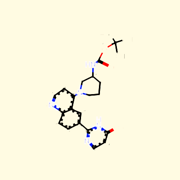 CC(C)(C)OC(=O)NC1CCCN(c2ccnc3ccc(-c4nccc(=O)[nH]4)cc23)C1